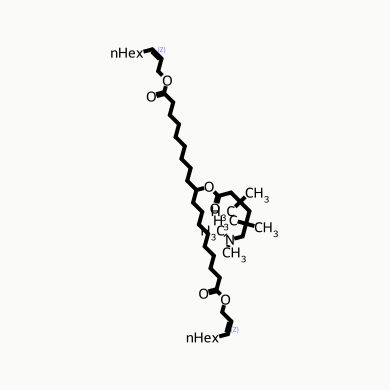 CCCCCC/C=C\COC(=O)CCCCCCCCC(CCCCCCCCC(=O)OC/C=C\CCCCCC)OC(=O)CC(C)(C)CC(C)(C)CN(C)C